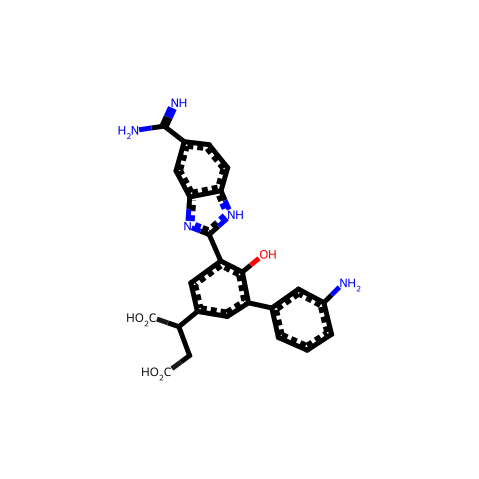 N=C(N)c1ccc2[nH]c(-c3cc(C(CC(=O)O)C(=O)O)cc(-c4cccc(N)c4)c3O)nc2c1